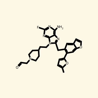 Cc1ccc(-c2cc3occc3cc2Cc2nc3c(N)nc(F)nc3n2CCC2CCN(CC=O)CC2)o1